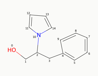 OCC(Cc1ccccc1)n1cccc1